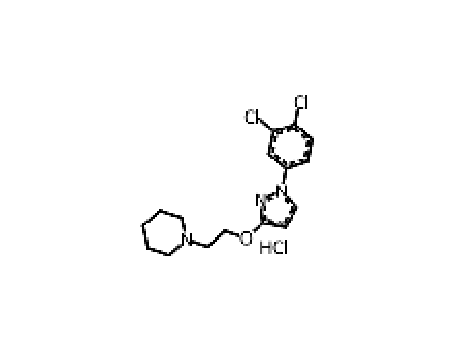 Cl.Clc1ccc(-n2ccc(OCCN3CCCCC3)n2)cc1Cl